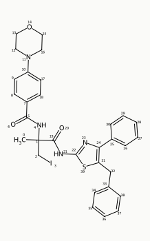 CC(CI)(NC(=O)c1ccc(N2CCOCC2)cc1)C(=O)Nc1nc(-c2ccccc2)c(Cc2ccccc2)s1